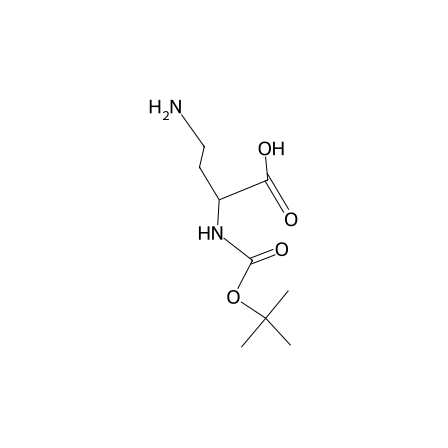 CC(C)(C)OC(=O)NC(CCN)C(=O)O